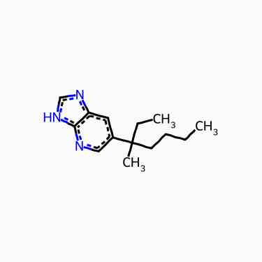 CCCCC(C)(CC)c1cnc2[nH]cnc2c1